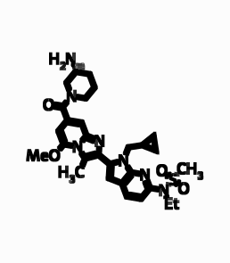 CCN(c1ccc2cc(-c3nc4cc(C(=O)N5CCC[C@@H](N)C5)cc(OC)n4c3C)n(CC3CC3)c2n1)S(C)(=O)=O